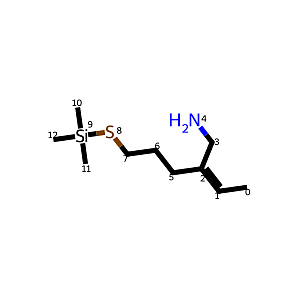 CC=C(CN)CCCS[Si](C)(C)C